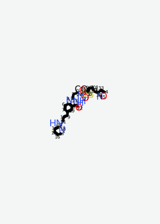 O=C(O)[C@H](Cc1nc2ccc(C=CCNc3ccccn3)cc2c(=O)[nH]1)NS(=O)(=O)c1ccc(-c2ccon2)s1